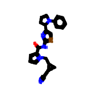 N#CC1CC1Cn1cccc1C(=O)Nc1nc(C2CCCN2c2ccccc2)cs1